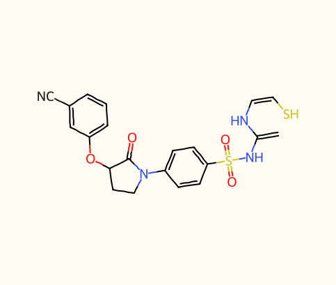 C=C(N/C=C\S)NS(=O)(=O)c1ccc(N2CCC(Oc3cccc(C#N)c3)C2=O)cc1